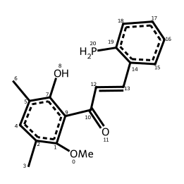 COc1c(C)cc(C)c(O)c1C(=O)/C=C/c1ccccc1P